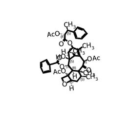 CC(=O)O[C@H]1C(=O)[C@@]2(C)[C@H]([C@H](OC(=O)c3ccccc3)[C@]3(O)CC(OC(=O)[C@H](OC(C)=O)[C@@H](C)c4ccccc4)C(C)=C1C3(C)C)[C@]1(OC(C)=O)CO[C@@H]1C[C@@H]2C